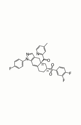 Cc1ccnc(C(=O)[C@]23Cc4cnn(-c5ccc(F)cc5)c4C=C2CC[C@H](S(=O)(=O)c2ccc(F)c(F)c2)C3)c1